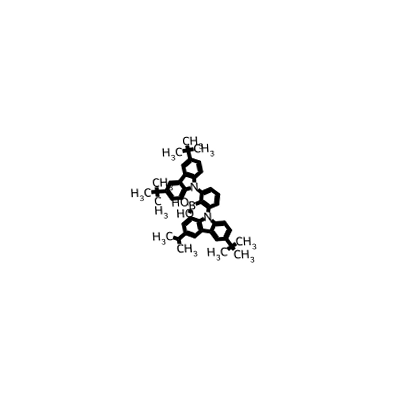 CC(C)c1ccc2c(c1)c1cc(C(C)(C)C)ccc1n2-c1cccc(-n2c3ccc(C(C)(C)C)cc3c3cc(C(C)(C)C)ccc32)c1B(O)O